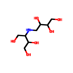 OCC(O)C(O)CNC(CO)C(O)CO